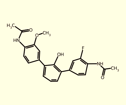 COc1cc(-c2cccc(-c3ccc(NC(C)=O)c(F)c3)c2O)ccc1NC(C)=O